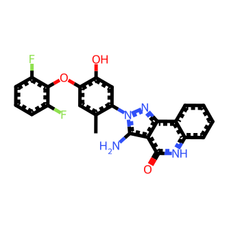 Cc1cc(Oc2c(F)cccc2F)c(O)cc1-n1nc2c(c1N)c(=O)[nH]c1ccccc12